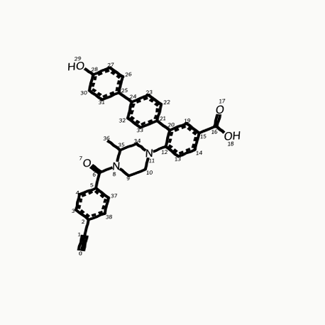 C#Cc1ccc(C(=O)N2CCN(c3ccc(C(=O)O)cc3-c3ccc(-c4ccc(O)cc4)cc3)CC2C)cc1